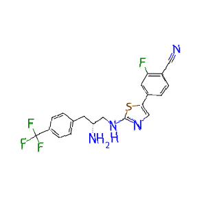 N#Cc1ccc(-c2cnc(NC[C@H](N)Cc3ccc(C(F)(F)F)cc3)s2)cc1F